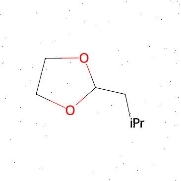 CC(C)CC1OCCO1